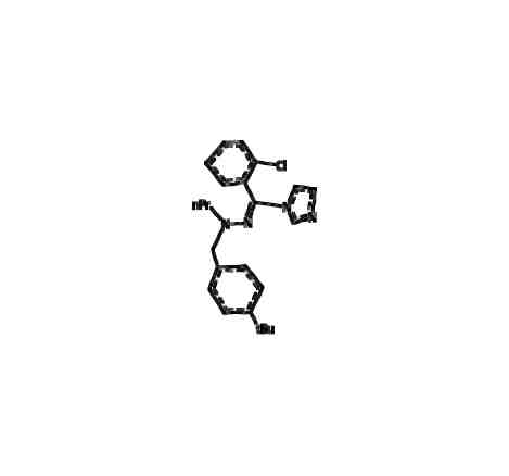 CCCN(Cc1ccc(C(C)(C)C)cc1)/N=C(\c1ccccc1Cl)n1ccnc1